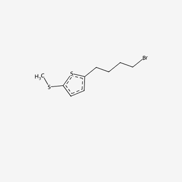 CSc1ccc(CCCCBr)s1